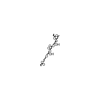 C=CC(=O)OCCCCOCC(O)COC(=O)CC(=O)OCC(O)COC(CCC)OC(=O)C=C